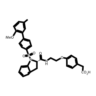 COc1ccc(C)cc1-c1ccc(S(=O)(=O)N2c3ccccc3C[C@H]2C(=O)NCCOc2ccc(CC(=O)O)cc2)cc1